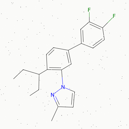 CCC(CC)c1ccc(-c2ccc(F)c(F)c2)cc1-n1ccc(C)n1